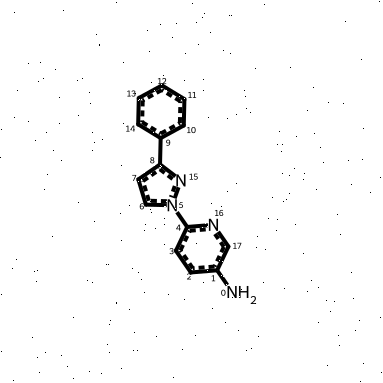 Nc1ccc(-n2ccc(-c3ccccc3)n2)nc1